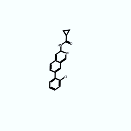 O=C(NC1C=c2ccc(-c3ccccc3Cl)cc2=CN1)C1CC1